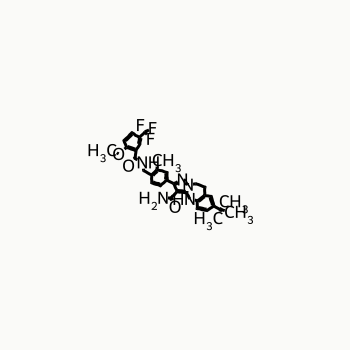 COc1ccc(C(F)(F)F)cc1C(=O)NCc1ccc(-c2nn3c(c2C(N)=O)Nc2ccc(C(C)(C)C)cc2CC3)cc1C